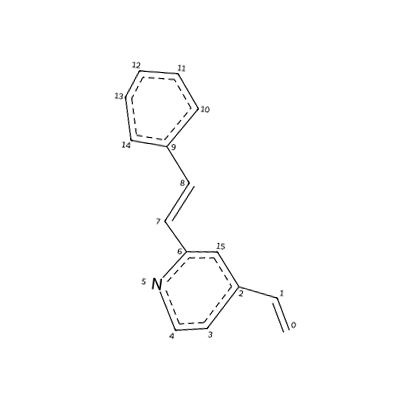 C=Cc1ccnc(C=Cc2ccccc2)c1